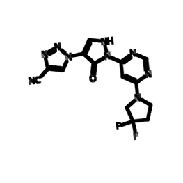 N#Cc1cn(-c2c[nH]n(-c3cc(N4CCC(F)(F)C4)ncn3)c2=O)nn1